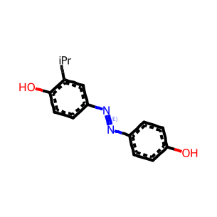 CC(C)c1cc(/N=N/c2ccc(O)cc2)ccc1O